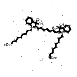 CCCCCCCCCCCCCCCCCCN1/C(=C/C=C/C=C/C=C/C2=[N+](CCCCCCCCCCCCCCCCCC)c3ccccc3C2(C)C)C(C)(C)c2ccccc21.[I-]